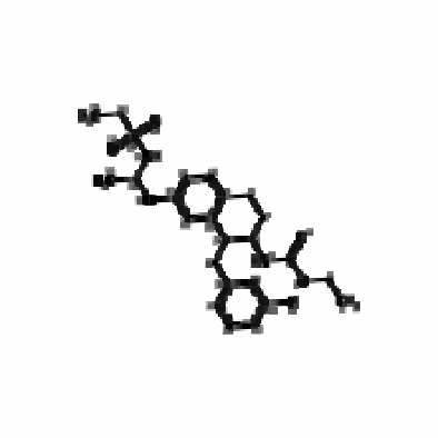 CCOC(=O)NC1CCc2ccc(OC(C)NS(=O)(=O)CC)cc2C1Cc1cccc(Cl)c1